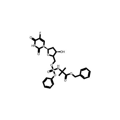 CC(C)(NP(=O)(OCC1O[C@@H](n2cc(F)c(=O)[nH]c2=O)C[C@H]1O)Oc1ccccc1)C(=O)OCc1ccccc1